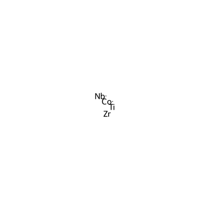 [Co].[Nb].[Ti].[Zr]